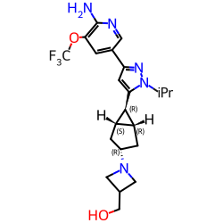 CC(C)n1nc(-c2cnc(N)c(OC(F)(F)F)c2)cc1[C@H]1[C@@H]2C[C@H](N3CC(CO)C3)C[C@@H]21